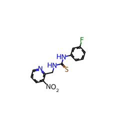 O=[N+]([O-])c1cccnc1CNC(=S)Nc1cccc(F)c1